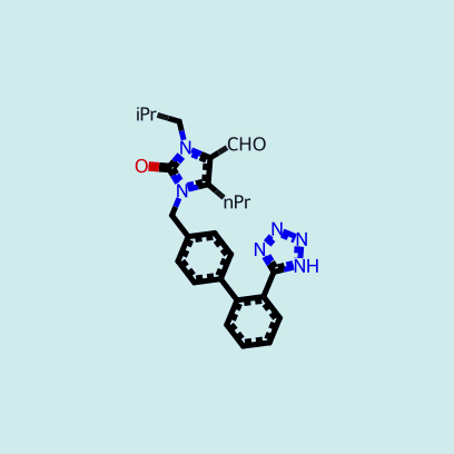 CCCc1c(C=O)n(CC(C)C)c(=O)n1Cc1ccc(-c2ccccc2-c2nnn[nH]2)cc1